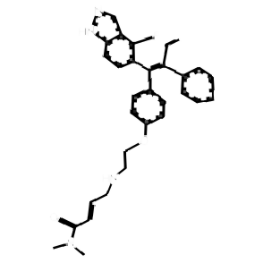 CCC(=C(c1ccc(OCCNCC=CC(=O)N(C)C)cc1)c1ccc2[nH]ncc2c1F)c1ccccc1